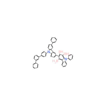 Bc1c(-c2ccc3c(c2)c2cc(-c4ccccc4)ccc2n3-c2ccc(-c3cccc(-c4ccccc4)c3)cc2)c(B)c2c3ccccc3n(-c3ccccc3)c2c1B